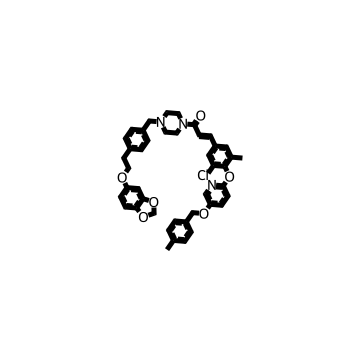 Cc1ccc(COc2ccc(Oc3c(C)cc(C=CC(=O)N4CCN(Cc5ccc(CCOc6ccc7c(c6)OCO7)cc5)CC4)cc3Cl)nc2)cc1